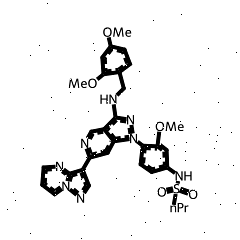 CCCS(=O)(=O)Nc1ccc(-n2nc(NCc3ccc(OC)cc3OC)c3cnc(-c4cnn5cccnc45)cc32)c(OC)c1